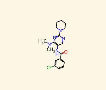 CN(C)c1nc(N2CCCCC2)ncc1NC(=O)c1cccc(Cl)c1